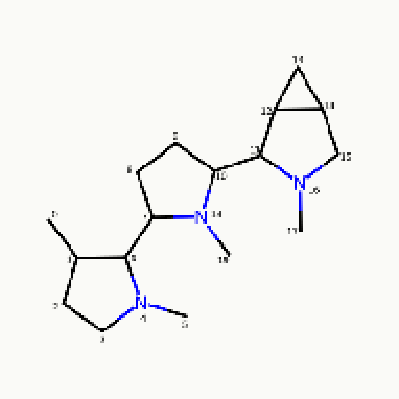 CC1CCN(C)C1C1CCC(C2C3CC3CN2C)N1C